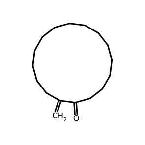 C=C1CCCCCCCCCCCCCCC1=O